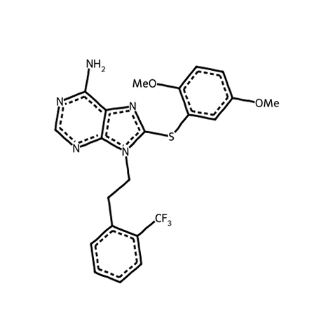 COc1ccc(OC)c(Sc2nc3c(N)ncnc3n2CCc2ccccc2C(F)(F)F)c1